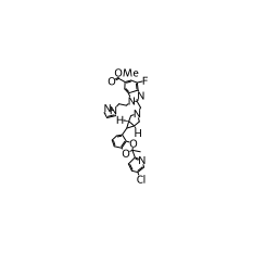 COC(=O)c1cc(F)c2nc(CN3C[C@@H]4C(c5cccc6c5OC(C)(c5ccc(Cl)cn5)O6)[C@@H]4C3)n(CCn3cccn3)c2c1